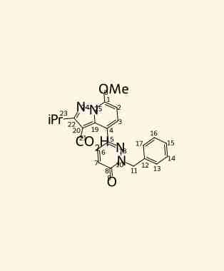 COc1ccc(-c2ccc(=O)n(Cc3ccccc3)n2)c2c(C(=O)O)c(C(C)C)nn12